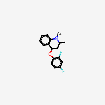 CC(=O)N1c2ccccc2C(Oc2ccc(F)cc2F)CC1C